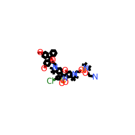 COc1ccc(C(OCCN2c3cc4c(cc3C(C)(C)C2C)[C@@]2(c3cc5c(cc3O4)N(CCOP(OCCC#N)N(C(C)C)C(C)C)C(C)C5(C)C)c3ccc(Cl)cc3S(=O)(=O)N2C)(c2ccccc2)c2ccc(OC)cc2)cc1